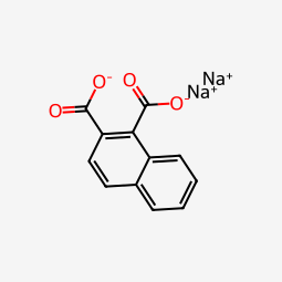 O=C([O-])c1ccc2ccccc2c1C(=O)[O-].[Na+].[Na+]